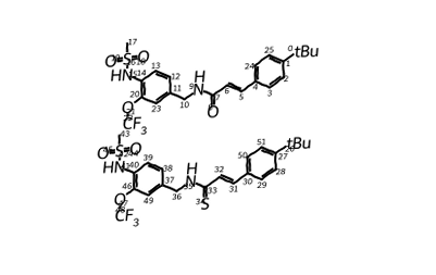 CC(C)(C)c1ccc(/C=C/C(=O)NCc2ccc(NS(C)(=O)=O)c(OC(F)(F)F)c2)cc1.CC(C)(C)c1ccc(/C=C/C(=S)NCc2ccc(NS(C)(=O)=O)c(OC(F)(F)F)c2)cc1